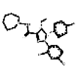 CC[C@H]1C(C(=O)NN2CCCCCC2)=NN(c2ccc(Cl)cc2Cl)[C@H]1c1ccc(Br)cc1